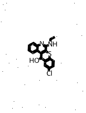 CCNc1nc2ccccc2c2c1Sc1ccc(Cl)cc1C2O